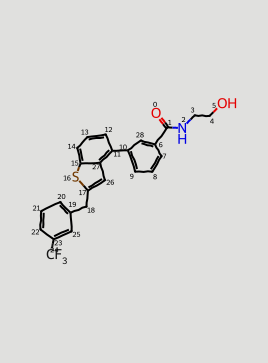 O=C(NCCO)c1cccc(-c2cccc3sc(Cc4cccc(C(F)(F)F)c4)cc23)c1